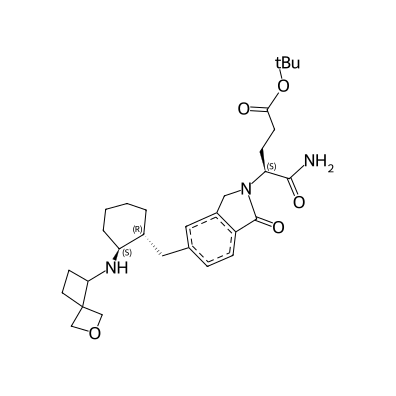 CC(C)(C)OC(=O)CC[C@@H](C(N)=O)N1Cc2cc(C[C@H]3CCCC[C@@H]3NC3CCC34COC4)ccc2C1=O